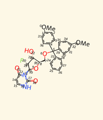 COc1ccc(C(OC[C@H]2O[C@@H](n3c(=O)cc[nH]c3=O)[C@H](F)[C@@H]2O)(c2ccccc2)c2ccc(OC)cc2)cc1